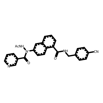 CC(=O)N[N+](C(=O)c1cccnc1)c1ccc2c(C(=O)NCc3ccc(C#N)cc3)cccc2c1